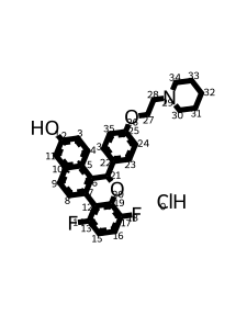 Cl.Oc1ccc2c3c(ccc2c1)-c1c(F)ccc(F)c1OC3c1ccc(OCCN2CCCCC2)cc1